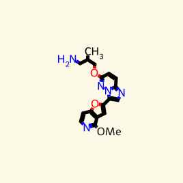 COc1nccc2oc(-c3cnc4ccc(OCC(C)CN)nn34)cc12